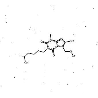 CCOCn1c(S)nc2c1c(=O)n(CCCC[C@@H](C)O)c(=O)n2C